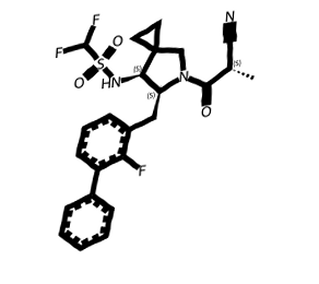 C[C@@H](C#N)C(=O)N1CC2(CC2)[C@H](NS(=O)(=O)C(F)F)[C@@H]1Cc1cccc(-c2ccccc2)c1F